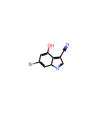 N#CC1=C2C(O)=CC(Br)=CC2N=C1